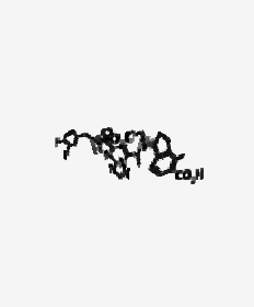 Cc1c(C(=O)O)ccc2c1CC[C@@H]2N(CC(=O)O)C(C)c1cc(C(=O)NCc2ccc(F)c(F)c2)nc2ncnn12